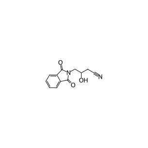 N#CCC(O)CN1C(=O)c2ccccc2C1=O